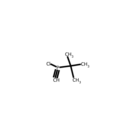 C#P(Cl)C(C)(C)C